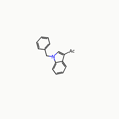 CC(=O)c1cn(Cc2ccccc2)c2ccccc12